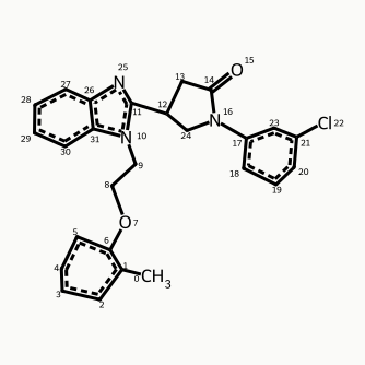 Cc1ccccc1OCCn1c(C2CC(=O)N(c3cccc(Cl)c3)C2)nc2ccccc21